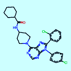 O=C(NC1CCN(c2ncnc3c2nc(-c2ccccc2Cl)n3-c2ccc(Cl)cc2)CC1)C1CCCCC1